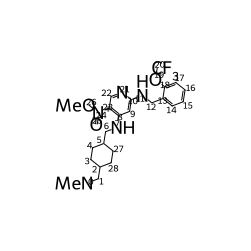 CNCC1CCC(CNc2cc(NCc3ccccc3OC(F)(F)F)ncc2[N+](=O)OC)CC1